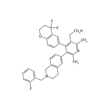 Cc1nc(C)c(-c2ccc3c(c2)CCN(Cc2ccccc2F)C3)c(-c2ccc3c(c2)C(F)(F)CCO3)c1CC(=O)O